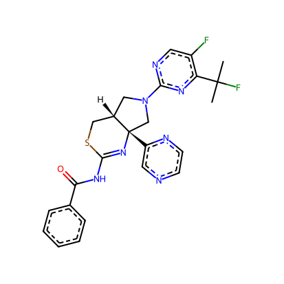 CC(C)(F)c1nc(N2C[C@H]3CSC(NC(=O)c4ccccc4)=N[C@@]3(c3cnccn3)C2)ncc1F